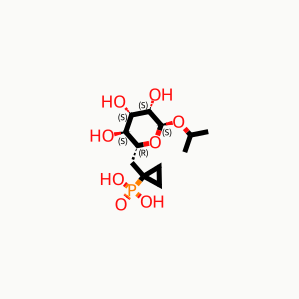 CC(C)O[C@H]1O[C@H](CC2(P(=O)(O)O)CC2)[C@@H](O)[C@H](O)[C@@H]1O